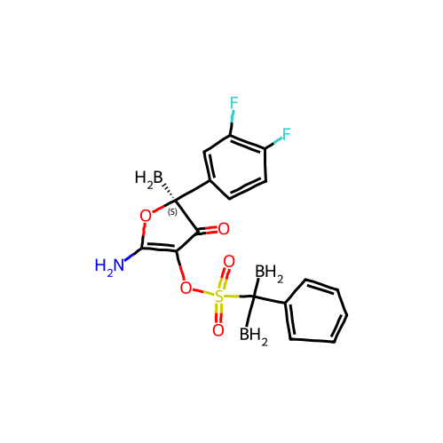 BC(B)(c1ccccc1)S(=O)(=O)OC1=C(N)O[C@@](B)(c2ccc(F)c(F)c2)C1=O